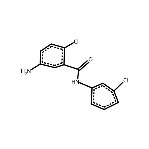 Nc1ccc(Cl)c(C(=O)Nc2cccc(Cl)c2)c1